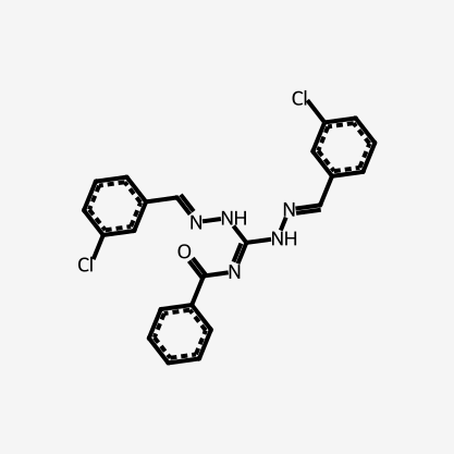 O=C(N=C(NN=Cc1cccc(Cl)c1)NN=Cc1cccc(Cl)c1)c1ccccc1